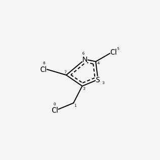 ClCc1sc(Cl)nc1Cl